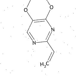 C=Cc1ncc2c(n1)OCCO2